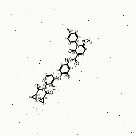 Cc1ccc(C(=O)Nc2ccc(Oc3ccnc(N(C(=O)C4CC4)C(=O)C4CC4)c3Cl)c(F)c2)c(=O)n1-c1ccc(F)cc1